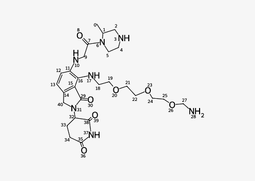 CC1CNCCN1C(=O)CNc1ccc2c(c1NCCOCCOCCOCN)C(=O)N(C1CCC(=O)NC1=O)C2